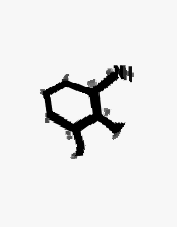 CC1CCCC([NH])C1C